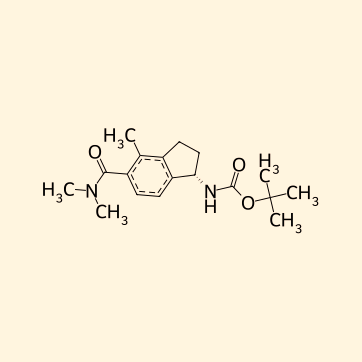 Cc1c(C(=O)N(C)C)ccc2c1CC[C@@H]2NC(=O)OC(C)(C)C